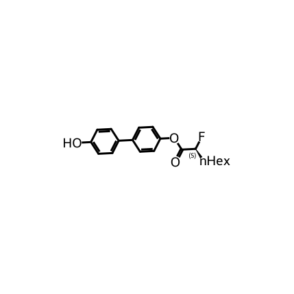 CCCCCC[C@H](F)C(=O)Oc1ccc(-c2ccc(O)cc2)cc1